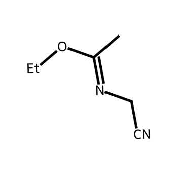 CCOC(C)=NCC#N